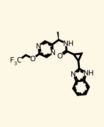 C[C@@H](NC(=O)C1CC1c1nc2ccccc2[nH]1)c1cnc(OCC(F)(F)F)cn1